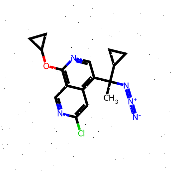 CC(N=[N+]=[N-])(c1cnc(OC2CC2)c2cnc(Cl)cc12)C1CC1